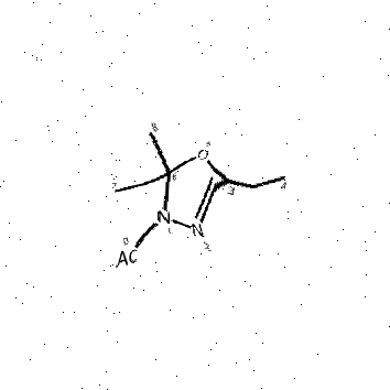 CC(=O)N1N=C(C)OC1(C)C